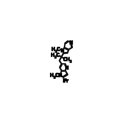 CC(C)c1cc2ncc(CC(C)(C)c3cc4cnccc4n3C)cc2n1C